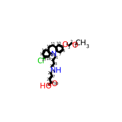 COCCOc1ccc2c(c1)CCc1ccc(Cl)cc1N2CCCCNC/C=C/C(=O)O